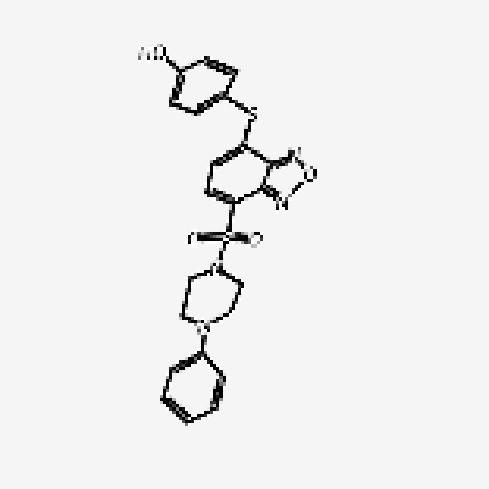 O=S(=O)(c1ccc(Sc2ccc(O)cc2)c2nonc12)N1CCN(c2ccccc2)CC1